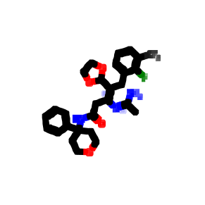 C/C(N)=N/C(CC(=O)NC1(c2ccccc2)CCOCC1)=C(\Cc1cccc(C(F)(F)F)c1F)C1OCCO1